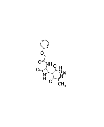 CC(=[N+]=[N-])C(=O)C(C(=O)O)C1NC(=O)C1NC(=O)COc1ccccc1